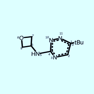 CC(C)(C)c1cnc(NC2COC2)nn1